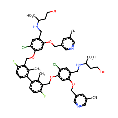 Cc1c(-c2ccc(F)c(COc3cc(OCc4cncc(C#N)c4)c(CNC(CCO)C(=O)O)cc3Cl)c2C)ccc(F)c1COc1cc(OCc2cncc(C#N)c2)c(CNC(CCO)C(=O)O)cc1Cl